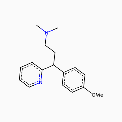 COc1ccc(C(CCN(C)C)c2ccccn2)cc1